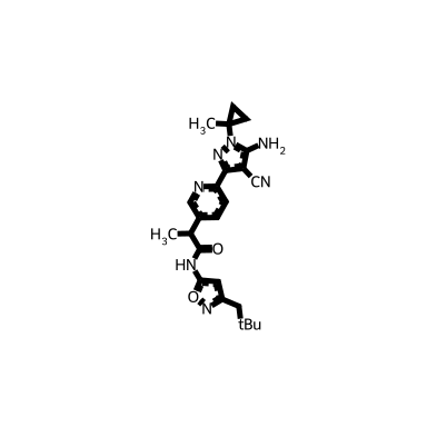 CC(C(=O)Nc1cc(CC(C)(C)C)no1)c1ccc(-c2nn(C3(C)CC3)c(N)c2C#N)nc1